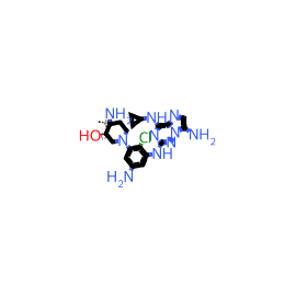 C[C@]1(N)CCN(c2cc(N)cc(Nc3nc(NC4CC4)c4ncc(N)n4n3)c2Cl)C[C@@H]1O